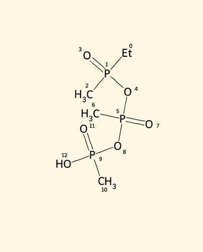 CCP(C)(=O)OP(C)(=O)OP(C)(=O)O